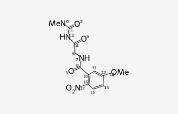 CNC(=O)NC(=O)CNC(=O)c1cc(OC)ccc1[N+](=O)[O-]